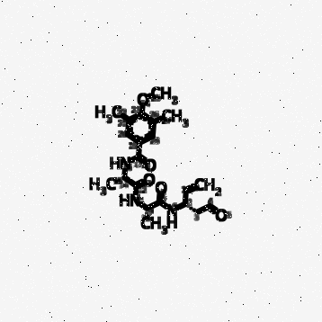 C=C[C@H](CC=O)NC(=O)[C@H](C)NC(=O)[C@H](C)NC(=O)c1cc(C)c(OC)c(C)c1